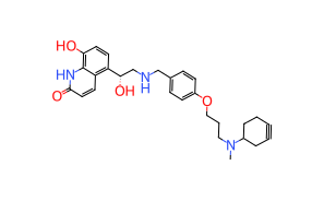 CN(CCCOc1ccc(CNC[C@H](O)c2ccc(O)c3[nH]c(=O)ccc23)cc1)C1CC#CCC1